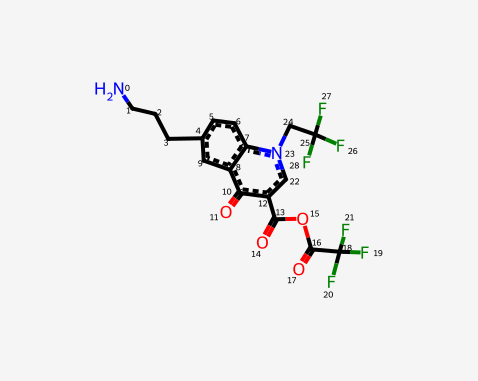 NCCCc1ccc2c(c1)c(=O)c(C(=O)OC(=O)C(F)(F)F)cn2CC(F)(F)F